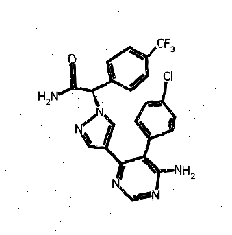 NC(=O)[C@@H](c1ccc(C(F)(F)F)cc1)n1cc(-c2ncnc(N)c2-c2ccc(Cl)cc2)cn1